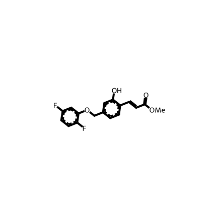 COC(=O)C=Cc1ccc(COc2cc(F)ccc2F)cc1O